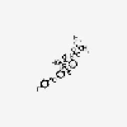 CC(C)OC(=O)N[C@H]1CCCN(S(=O)(=O)c2ccc(OCc3ccc(F)cc3)cc2)[C@H]1C(=O)NO